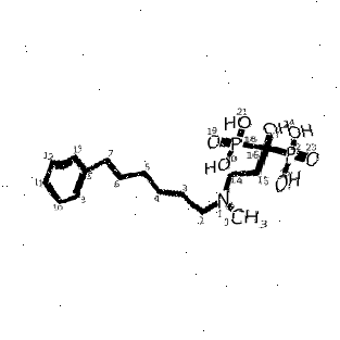 CN(CCCCCCc1ccccc1)CCC(O)(P(=O)(O)O)P(=O)(O)O